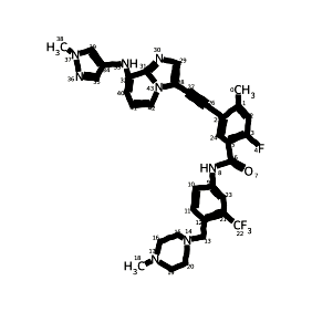 Cc1cc(F)c(C(=O)Nc2ccc(CN3CCN(C)CC3)c(C(F)(F)F)c2)cc1C#Cc1cnc2c(Nc3cnn(C)c3)cccn12